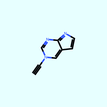 C#Cn1cnc2nccc-2c1